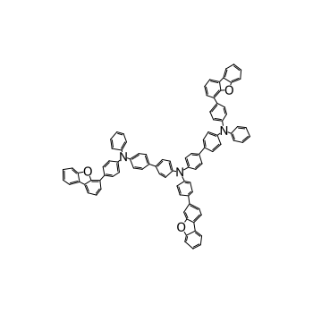 c1ccc(N(c2ccc(-c3ccc(N(c4ccc(-c5ccc(N(c6ccccc6)c6ccc(-c7cccc8c7oc7ccccc78)cc6)cc5)cc4)c4ccc(-c5ccc6c(c5)oc5ccccc56)cc4)cc3)cc2)c2ccc(-c3cccc4c3oc3ccccc34)cc2)cc1